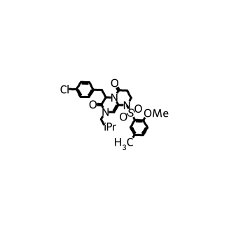 COc1ccc(C)cc1S(=O)(=O)N1CCC(=O)N2C1=CN(CC(C)C)C(=O)C2Cc1ccc(Cl)cc1